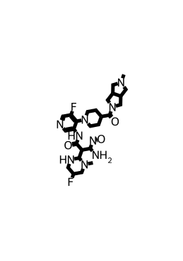 CN1CC2CN(C(=O)C3CCN(c4c(F)cncc4NC(=O)C(C(N)N=O)C4NCC(F)CN4C)CC3)CC2C1